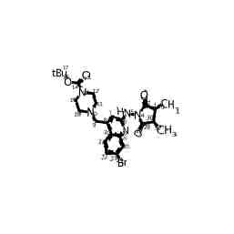 CC1C(=O)N(Nc2cc(CN3CCN(C(=O)OC(C)(C)C)CC3)c3ccc(Br)cc3n2)C(=O)C1C